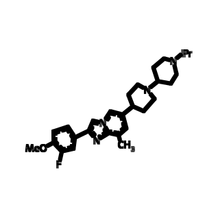 COc1ccc(-c2cn3cc(C4CCN(C5CCN(C(C)C)CC5)CC4)cc(C)c3n2)cc1F